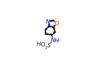 O=S(=O)(O)Nc1ccc2ncoc2c1